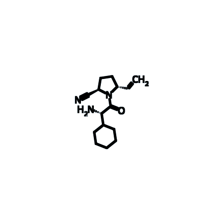 C=C[C@H]1CC[C@H](C#N)N1C(=O)[C@@H](N)C1CCCCC1